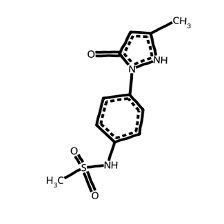 Cc1cc(=O)n(-c2ccc(NS(C)(=O)=O)cc2)[nH]1